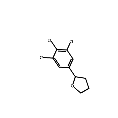 Clc1cc([C]2CCCO2)cc(Cl)c1Cl